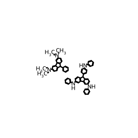 CCN(CC)c1ccc2c(c1)-c1cc(N(CC)CC)ccc1C2c1ccccc1.c1ccc(Nc2ccc(C3c4ccc(Nc5ccccc5)cc4-c4cc(Nc5ccccc5)ccc43)cc2)cc1